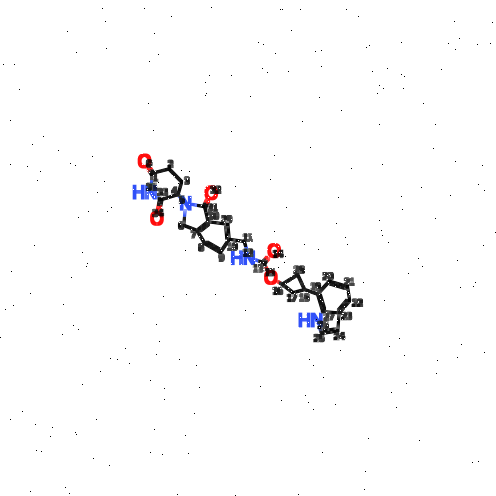 O=C1CCC(N2Cc3ccc(CNC(=O)OC4CC(c5cccc6cc[nH]c56)C4)cc3C2=O)C(=O)N1